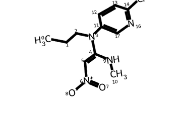 CCCN(C(=C[N+](=O)[O-])NC)c1ccc(Cl)nc1